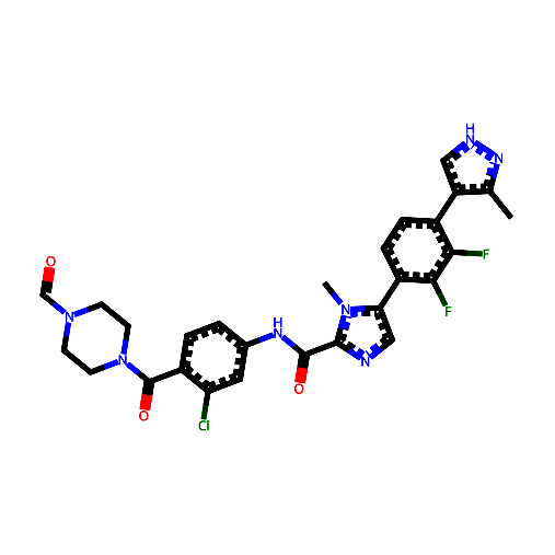 Cc1n[nH]cc1-c1ccc(-c2cnc(C(=O)Nc3ccc(C(=O)N4CCN(C=O)CC4)c(Cl)c3)n2C)c(F)c1F